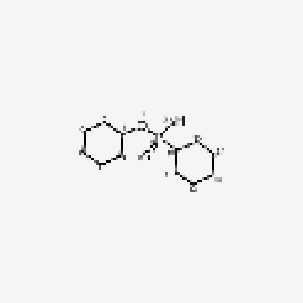 S=P(S)(OC1CCCCC1)C1CCCCC1